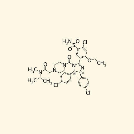 CCOc1cc(Cl)c(S(N)(=O)=O)cc1C1=N[C@@H](c2ccc(Cl)cc2)[C@@H](c2ccc(Cl)cc2)N1C(=O)N1CCN(CC(=O)N(C)C(C)C)CC1